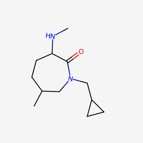 CNC1CCC(C)CN(CC2CC2)C1=O